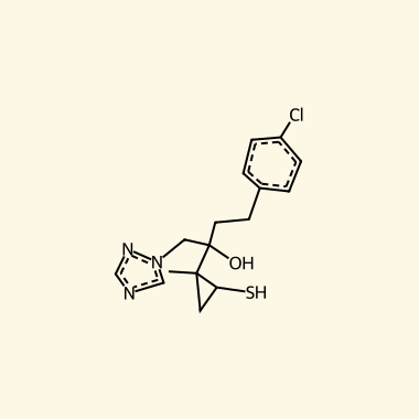 CC1(C(O)(CCc2ccc(Cl)cc2)Cn2cncn2)CC1S